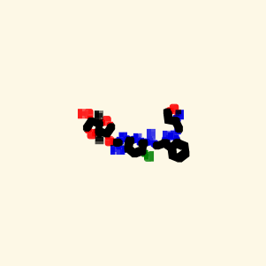 O[C@@H]1CO[C@H]2[C@@H]1OC[C@H]2Oc1nc2nc(NCc3nn(Cc4ccon4)c4ccccc34)c(Cl)cc2[nH]1